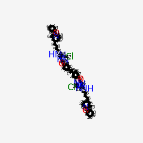 CC(C)(c1ccc(Oc2nc(Cl)nc(NCCCCC3CC(C)(C)N(OC4CCCCC4)C(C)(C)C3)n2)cc1)c1ccc(Oc2nc(Cl)nc(NCCCCC3CC(C)(C)N(OC4CCCCC4)C(C)(C)C3)n2)cc1